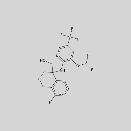 OCC1(Nc2ncc(C(F)(F)F)cc2OC(F)F)COCc2c(F)cccc21